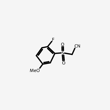 COc1ccc(F)c(S(=O)(=O)CC#N)c1